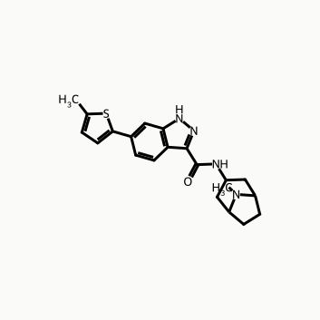 Cc1ccc(-c2ccc3c(C(=O)NC4CC5CCC(C4)N5C)n[nH]c3c2)s1